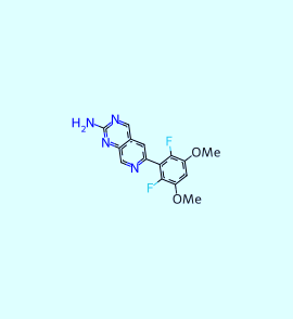 COc1cc(OC)c(F)c(-c2cc3cnc(N)nc3cn2)c1F